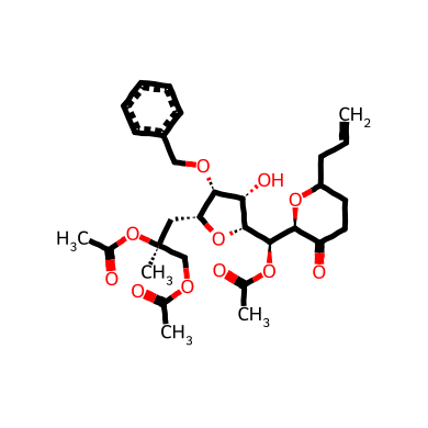 C=CCC1CCC(=O)[C@@H]([C@@H](OC(C)=O)[C@@H]2O[C@H](C[C@@](C)(COC(C)=O)OC(C)=O)[C@H](OCc3ccccc3)[C@@H]2O)O1